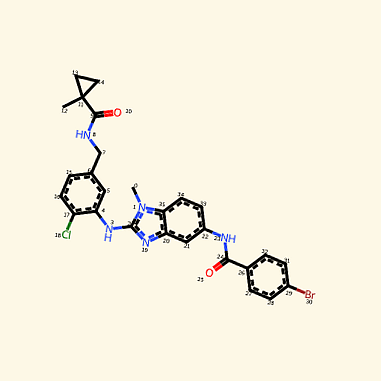 Cn1c(Nc2cc(CNC(=O)C3(C)CC3)ccc2Cl)nc2cc(NC(=O)c3ccc(Br)cc3)ccc21